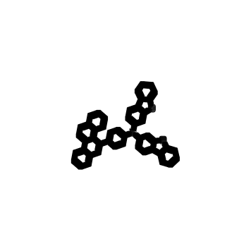 c1ccc2c(c1)cc(-c1ccc(N(c3ccc4c(c3)oc3ccccc34)c3ccc4c(c3)oc3ccccc34)cc1)c1c3ccccc3ccc21